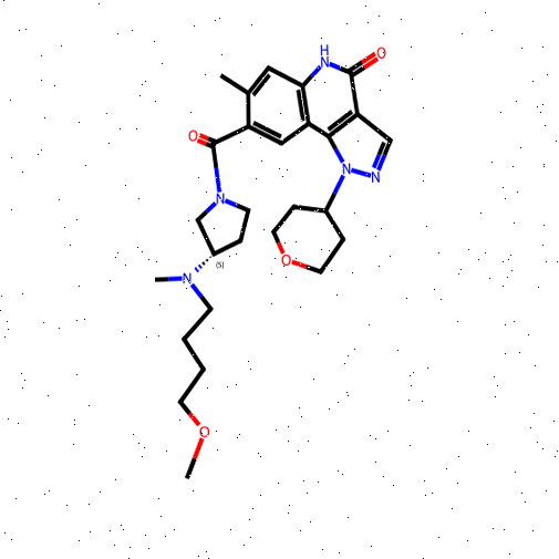 COCCCCN(C)[C@H]1CCN(C(=O)c2cc3c(cc2C)[nH]c(=O)c2cnn(C4CCOCC4)c23)C1